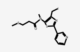 CSCCC(=O)N(C)c1sc(-c2cccnc2)nc1CI